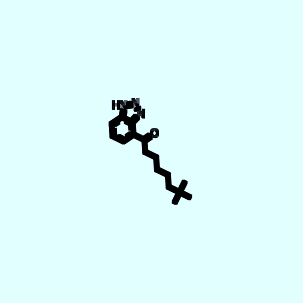 CC(C)(C)CCCCCC(=O)c1cccc2[nH]nnc12